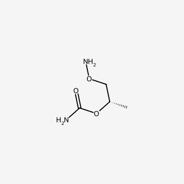 C[C@@H](CON)OC(N)=O